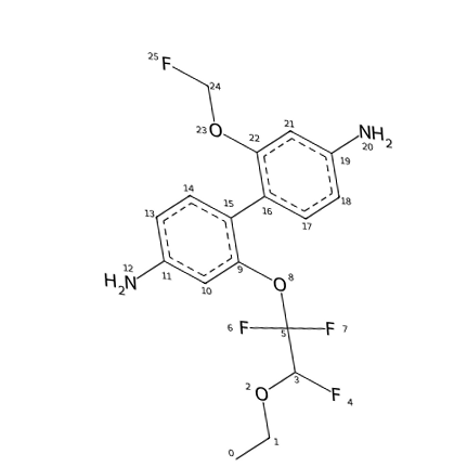 CCOC(F)C(F)(F)Oc1cc(N)ccc1-c1ccc(N)cc1OCF